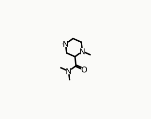 CN(C)C(=O)C1C[N]CCN1C